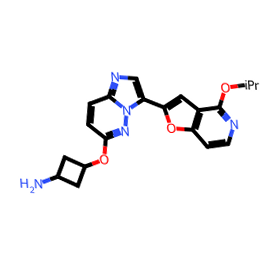 CC(C)Oc1nccc2oc(-c3cnc4ccc(OC5CC(N)C5)nn34)cc12